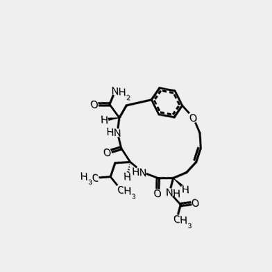 CC(=O)N[C@H]1C/C=C\COc2ccc(cc2)C[C@@H](C(N)=O)NC(=O)[C@H](CC(C)C)NC1=O